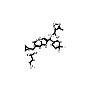 Cc1nonc1C(O)N[C@H](c1cn2ncc([C@H](NC(=O)CCC(F)(F)F)C3CC3)cc2n1)C1CCC(F)(F)CC1